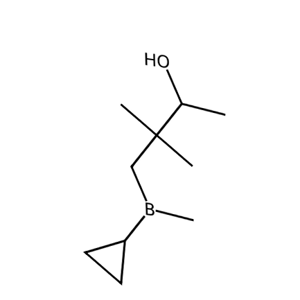 CB(CC(C)(C)C(C)O)C1CC1